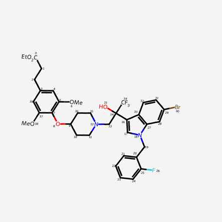 CCOC(=O)CCc1cc(OC)c(OC2CCN(CC(O)(c3cn(Cc4ccccc4F)c4cc(Br)ccc34)C(F)(F)F)CC2)c(OC)c1